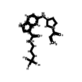 C=CC(=O)N1CC[C@H](Nc2cnc3[nH]cc(C(=O)NCCCC(F)(F)F)c3n2)C1